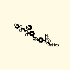 CCCCCCOC(=O)/N=C(\N)c1ccc(NCCc2cccc(C(=O)N(CCC(=O)O[C@@H]3CCOC3)c3ccccn3)c2)cc1